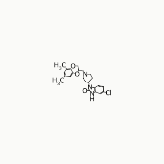 Cc1cc(C)c2c(c1)OC(CN1CCC(n3c(=O)[nH]c4cc(Cl)ccc43)CC1)CO2